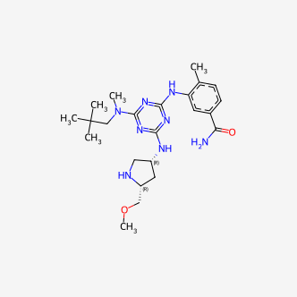 COC[C@H]1C[C@@H](Nc2nc(Nc3cc(C(N)=O)ccc3C)nc(N(C)CC(C)(C)C)n2)CN1